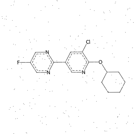 Fc1cnc(-c2cnc(OC3CCCCC3)c(Cl)c2)nc1